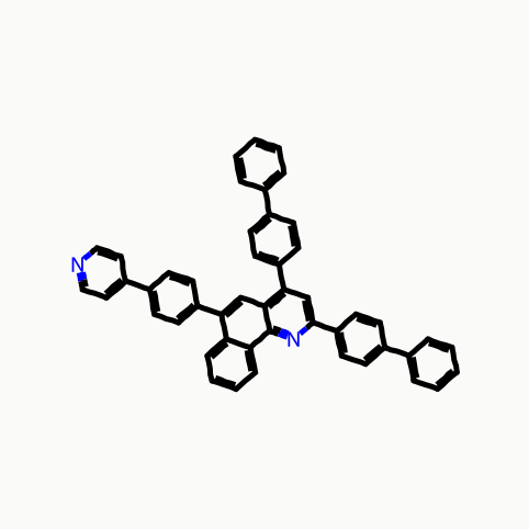 c1ccc(-c2ccc(-c3cc(-c4ccc(-c5ccccc5)cc4)c4cc(-c5ccc(-c6ccncc6)cc5)c5ccccc5c4n3)cc2)cc1